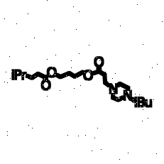 CCC(C)N1CCN(CCC(=O)OCCCCOC(=O)CCC(C)C)CC1